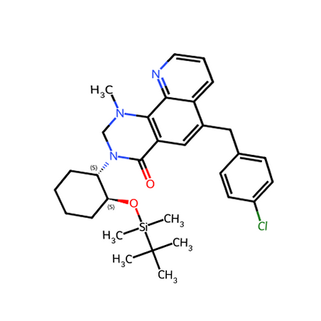 CN1CN([C@H]2CCCC[C@@H]2O[Si](C)(C)C(C)(C)C)C(=O)c2cc(Cc3ccc(Cl)cc3)c3cccnc3c21